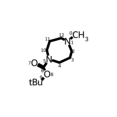 CN1CCCN(C(=O)OC(C)(C)C)CCC1